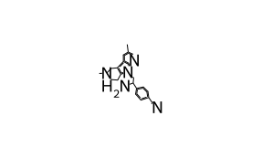 Cc1cnc2c(c1)c1c(n2CC(N)c2ccc(C#N)cc2)CCN(C)C1